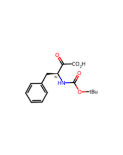 CC(C)(C)OC(=O)N[C@@H](Cc1ccccc1)C(=O)C(=O)O